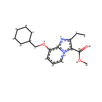 CCc1nc2c(OCC3CCCCC3)cccn2c1C(=O)OC